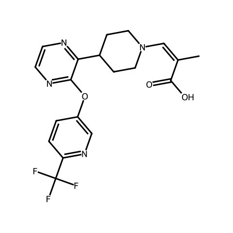 CC(=CN1CCC(c2nccnc2Oc2ccc(C(F)(F)F)nc2)CC1)C(=O)O